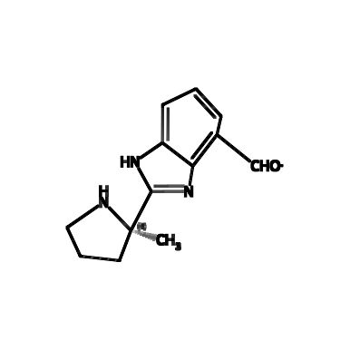 C[C@]1(c2nc3c([C]=O)cccc3[nH]2)CCCN1